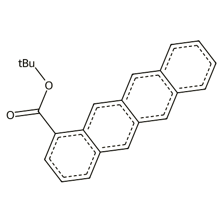 CC(C)(C)OC(=O)c1cccc2cc3cc4ccccc4cc3cc12